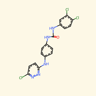 O=C(Nc1ccc(Nc2ccc(Cl)nn2)cc1)Nc1ccc(Cl)c(Cl)c1